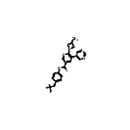 CC1CN(c2ncc(C(=O)Nc3ccc(CC(F)(F)I)cc3)cc2-c2cncnc2)C1